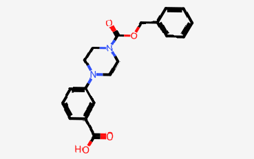 O=C(O)c1cccc(N2CCN(C(=O)OCc3ccccc3)CC2)c1